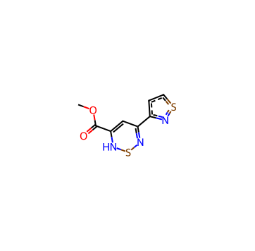 COC(=O)C1=CC(c2ccsn2)=NSN1